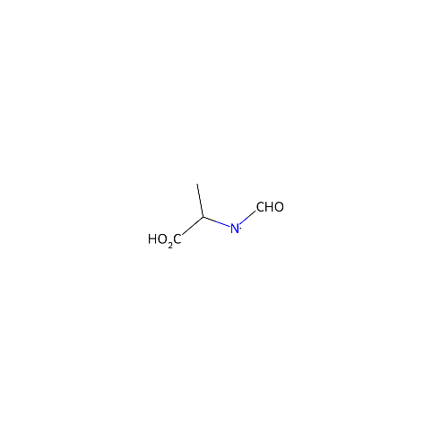 CC([N]C=O)C(=O)O